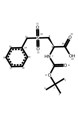 CC(C)(C)OC(=O)N[C@@H](CS(=O)(=O)Cc1ccccc1)C(=O)O